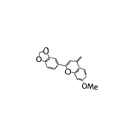 C=C1C=C(c2ccc3c(c2)OCO3)Oc2cc(OC)ccc21